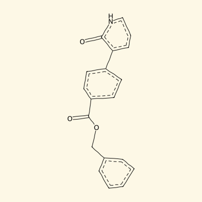 O=C(OCc1ccccc1)c1ccc(-c2ccc[nH]c2=O)cc1